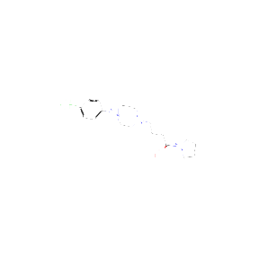 O=C(CCCN1CCN(c2ccc(Cl)cc2)CC1)N1CCCC1